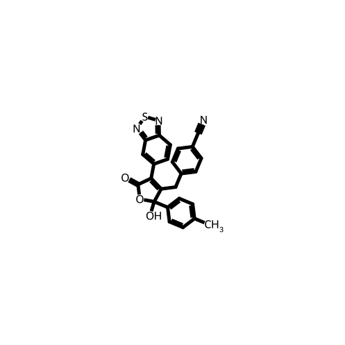 Cc1ccc(C2(O)OC(=O)C(c3ccc4nsnc4c3)=C2Cc2ccc(C#N)cc2)cc1